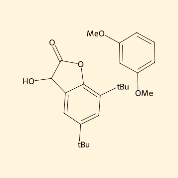 CC(C)(C)c1cc2c(c(C(C)(C)C)c1)OC(=O)C2O.COc1cccc(OC)c1